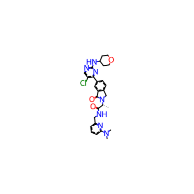 C[C@H](C(=O)NCc1cccc(N(C)C)n1)N1Cc2ccc(-c3nc(NC4CCOCC4)ncc3Cl)cc2C1=O